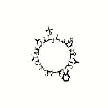 B=C1[C@H]([C@@H](C)O)NC(=O)[C@H](CC(C)C)N(C)C(=O)[C@H](Cc2ccccc2)N(C)C(=O)[C@@H](C)N(C)C(=O)C[C@@H](C)NC(=O)[C@H]([C@@H](C)CC)N(C)C(=O)[C@H](CC(C)C)N(C)C(=O)[C@H](COC(C)(C)C)NC(=O)CN1C